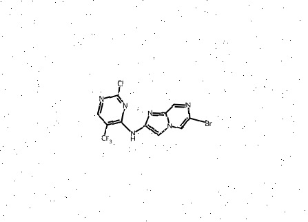 FC(F)(F)c1cnc(Cl)nc1Nc1cn2cc(Br)ncc2n1